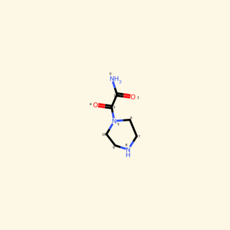 NC(=O)C(=O)N1CCNCC1